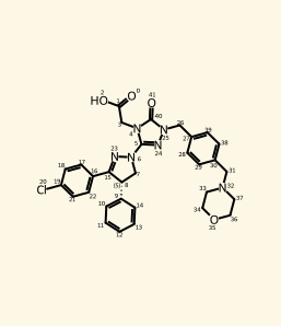 O=C(O)Cn1c(N2C[C@H](c3ccccc3)C(c3ccc(Cl)cc3)=N2)nn(Cc2ccc(CN3CCOCC3)cc2)c1=O